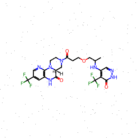 CC(COCCC(=O)N1CCN2c3ncc(C(F)(F)F)cc3NC(=O)[C@H]2C1)Nc1cn[nH]c(=O)c1C(F)(F)F